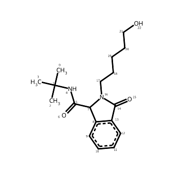 CC(C)(C)NC(=O)C1c2ccccc2C(=O)N1CCCCCO